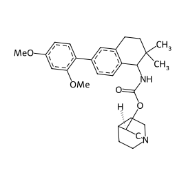 COc1ccc(-c2ccc3c(c2)CCC(C)(C)C3NC(=O)O[C@H]2CN3CCC2CC3)c(OC)c1